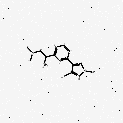 CC(C)n1cc(-c2ccnc(C(N)CN(C)C)n2)c(I)n1